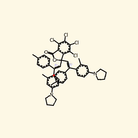 Cc1ccc(/C(=C\C2(/C=C(\c3ccc(C)cc3)c3ccc(N4CCCC4)cc3C)OC(=O)c3c(Cl)c(Cl)c(Cl)c(Cl)c32)c2ccc(N3CCCC3)cc2C)cc1